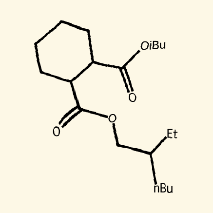 CCCCC(CC)COC(=O)C1CCCCC1C(=O)OCC(C)C